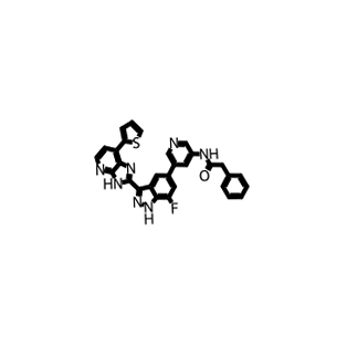 O=C(Cc1ccccc1)Nc1cncc(-c2cc(F)c3[nH]nc(-c4nc5c(-c6cccs6)ccnc5[nH]4)c3c2)c1